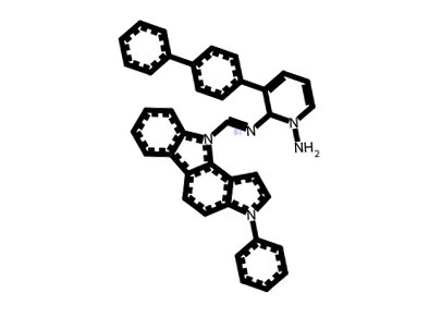 NN1C=CC=C(c2ccc(-c3ccccc3)cc2)C1/N=C/n1c2ccccc2c2ccc3c(ccn3-c3ccccc3)c21